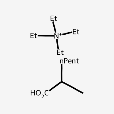 CCCCCC(C)C(=O)O.CC[N+](CC)(CC)CC